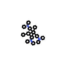 C1=CC(N(c2ccccc2)c2ccc(-c3cc(-c4ccccc4)c(-c4ccc(N(c5ccccc5)c5ccccc5)cc4)c4c5c(c6cc(N(c7ccccc7)c7ccccc7)ccc6c34)CC(c3ccccc3)C=C5)cc2)=CCC1